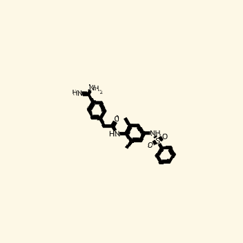 Cc1cc(NS(=O)(=O)c2ccccc2)cc(C)c1NC(=O)Cc1ccc(C(=N)N)cc1